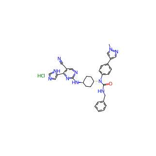 Cl.Cn1cc(-c2ccc(N(C(=O)NCc3ccccc3)[C@H]3CC[C@H](Nc4ncc(C#N)c(-c5cnc[nH]5)n4)CC3)cc2)cn1